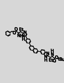 CCC(C(=N)C(=O)OCc1ccccc1)c1ncc(-c2ccc(-c3ccc4ccc(-c5ccc6nc([C@@H](CC)C(=N)C(=O)OC(C)(C)C)[nH]c6c5)cc4c3)cc2)[nH]1